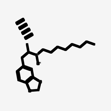 C=C.C=C.C=C.C=C.CCCCCCCC[S+]([O-])C(C)Cc1ccc2c(c1)OCO2